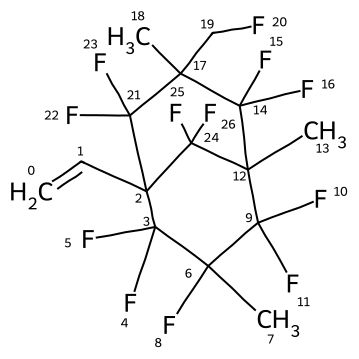 C=CC12C(F)(F)C(C)(F)C(F)(F)C(C)(C(F)(F)C(C)(CF)C1(F)F)C2(F)F